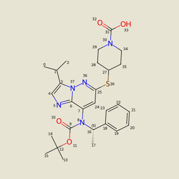 CC(C)c1cnc2c(N(C(=O)OC(C)(C)C)[C@@H](C)c3ccccc3)cc(SC3CCN(C(=O)O)CC3)nn12